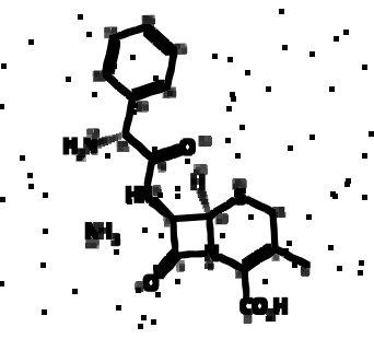 CC1=C(C(=O)O)N2C(=O)[C@@H](NC(=O)[C@H](N)c3ccccc3)[C@H]2SC1.N